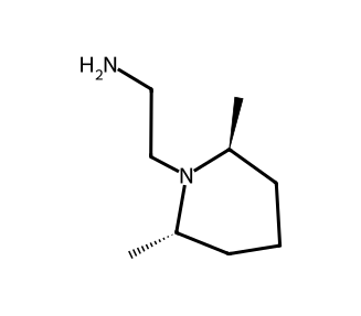 C[C@H]1CCC[C@H](C)N1CCN